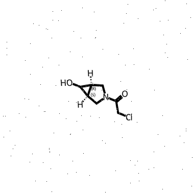 O=C(CCl)N1C[C@@H]2C(O)[C@@H]2C1